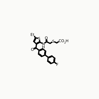 CCc1cc(C(=O)c2ccc(-c3ccc(F)cc3)cc2)c(NC(=O)CSCC(=O)O)s1